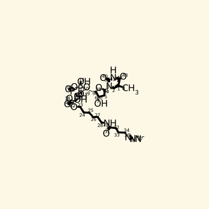 Cc1cn([C@@H]2C[C@H](O)[C@H](COP(=O)(O)OP(=O)(O)OP(=O)(O)OCCCCCCNC(=O)CCCN=[N+]=[N-])O2)c(=O)[nH]c1=O